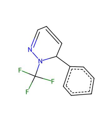 FC(F)(F)N1N=CC=CC1c1ccccc1